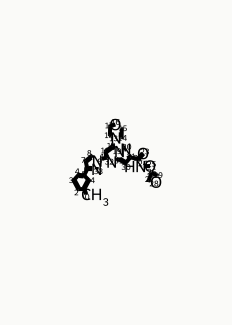 Cc1cccc(-c2ccn(-c3cc(N4CCOCC4)n4nc(C(=O)NOC5COC5)cc4n3)n2)c1